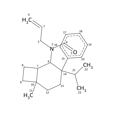 C=CCN(C=O)C1C2CCC2(C)CCC1(c1ccccc1)C(C)C